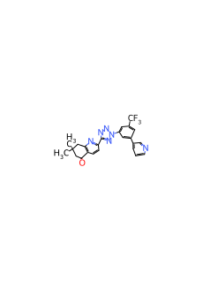 CC1(C)CC(=O)c2ccc(-c3nnn(-c4cc(-c5cccnc5)cc(C(F)(F)F)c4)n3)nc2C1